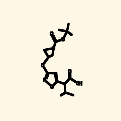 CC(C)C(C(=O)O)c1cc(OC2CN(C(=O)OC(C)(C)C)C2)no1